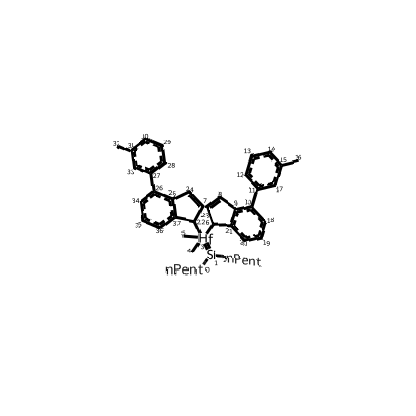 CCCCC[Si](CCCCC)=[Hf]([CH3])([CH3])([CH]1C=Cc2c(-c3cccc(C)c3)cccc21)[CH]1C=Cc2c(-c3cccc(C)c3)cccc21